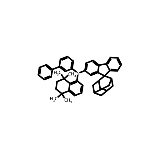 CC1(C)CCC(C)(C)c2c(N(c3cccc(-c4ccccc4)c3)c3ccc4c(c3)C3(c5ccccc5-4)C4CC5CC(C4)CC3C5)cccc21